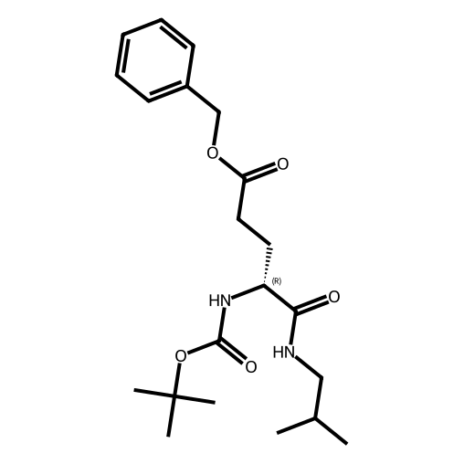 CC(C)CNC(=O)[C@@H](CCC(=O)OCc1ccccc1)NC(=O)OC(C)(C)C